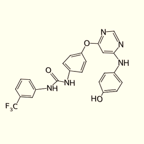 O=C(Nc1ccc(Oc2cc(Nc3ccc(O)cc3)ncn2)cc1)Nc1cccc(C(F)(F)F)c1